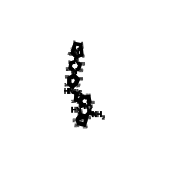 CN1C2CCC1CC(N1CCN(c3ccc(Nc4cc5c(NC6C7C=CC(C7)C6C(N)=O)nccc5s4)cc3)CC1)C2